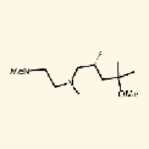 CNCCN(C)C[C@H](C)CC(C)(C)OC